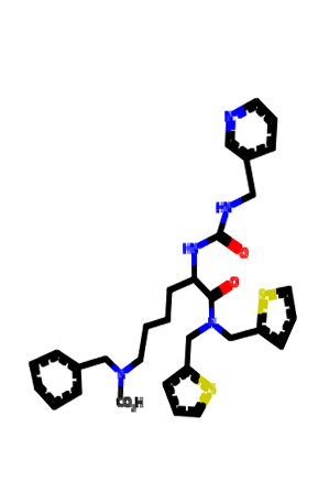 O=C(NCc1cccnc1)NC(CCCCN(Cc1ccccc1)C(=O)O)C(=O)N(Cc1cccs1)Cc1cccs1